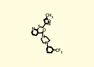 Cc1cc(CSc2ncccc2C(=O)N2CCN(c3cccc(C(F)(F)F)c3)CC2)no1